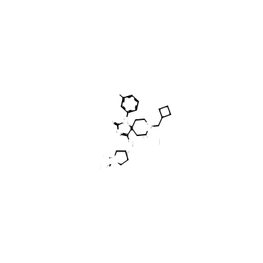 C[C@H]1CC2(CCN1CC1CCC1)C(N[C@@H]1CC[Si](C)(C)C1)=NC(=O)N2c1cccc(F)c1